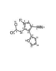 N#Cc1cn(F)c(SC(Cl)Cl)c1-c1ccco1